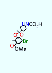 COC(=O)c1cc(Br)c2c(c1C)OC(C)([C@H]1CC[C@H](NC(=O)O)CC1)O2